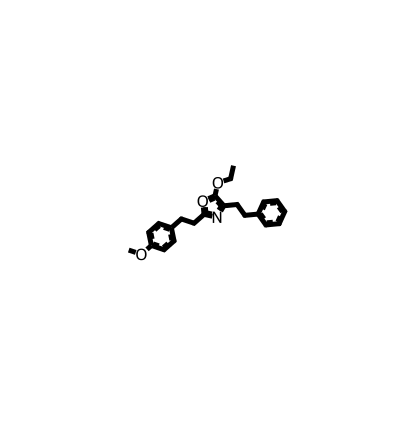 CCOc1oc(CCc2ccc(OC)cc2)nc1CCc1ccccc1